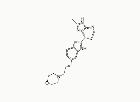 Cc1nc2c(-c3cc4ccc(/C=C/CN5CCOCC5)cc4[nH]3)ccnc2[nH]1